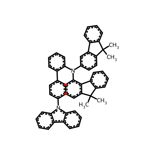 CC1(C)c2ccccc2-c2cc(N(c3ccccc3-c3ccc(-n4c5ccccc5c5ccccc54)cc3)c3cccc4c3-c3ccccc3C4(C)C)ccc21